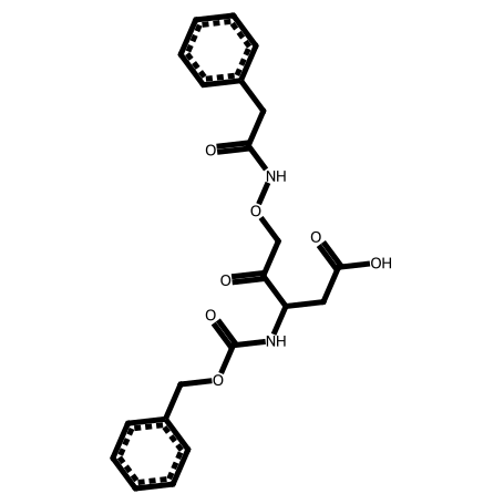 O=C(O)CC(NC(=O)OCc1ccccc1)C(=O)CONC(=O)Cc1ccccc1